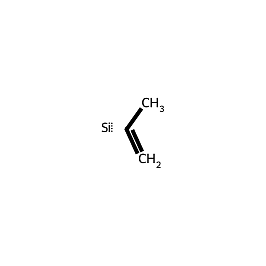 C=CC.[Si]